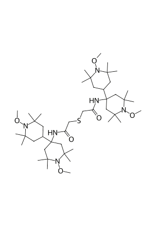 CON1C(C)(C)CC(C2(NC(=O)CSCC(=O)NC3(C4CC(C)(C)N(OC)C(C)(C)C4)CC(C)(C)N(OC)C(C)(C)C3)CC(C)(C)N(OC)C(C)(C)C2)CC1(C)C